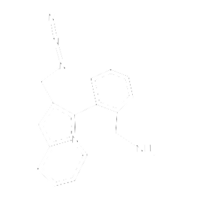 [N-]=[N+]=NCc1cc2ccccn2c1-c1ccccc1CN